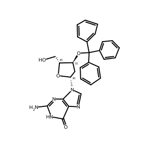 Nc1nc2c(ncn2[C@H]2C[C@H](OC(c3ccccc3)(c3ccccc3)c3ccccc3)[C@@H](CO)O2)c(=O)[nH]1